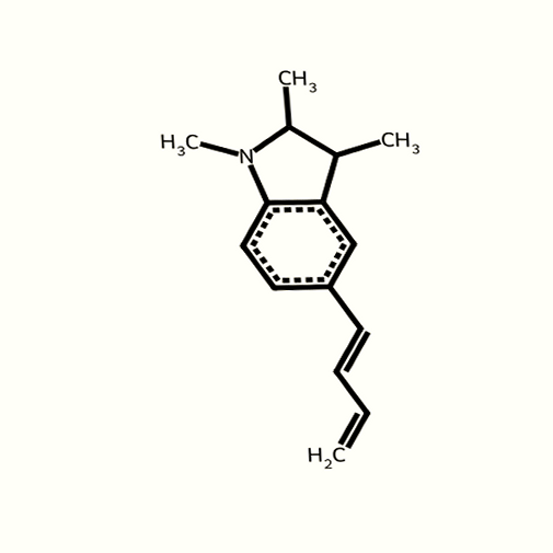 C=C/C=C/c1ccc2c(c1)C(C)C(C)N2C